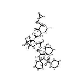 CCC[C@H](NC(=O)[C@@H]1[C@@H]2[C@H](CN1C(=O)[C@@H](NC(=O)NC1(CS(=O)(=O)N3CCOCC3)CCCCC1)C1(C)CCCCC1)C2(C)C)C(=O)C(=O)NC1CC1